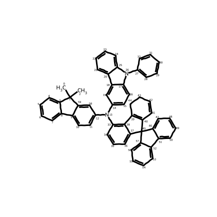 CC1(C)c2ccccc2-c2ccc(N(c3ccc4c(c3)c3ccccc3n4-c3ccccc3)c3cccc4c3C3=C(C=CCC3)C43c4ccccc4-c4ccccc43)cc21